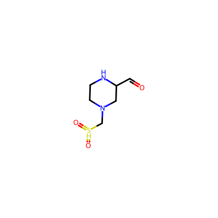 O=CC1CN(C[SH](=O)=O)CCN1